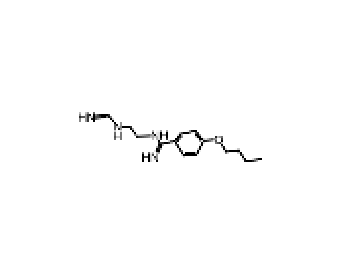 CCCCOc1ccc(C(=N)NCCNC=N)cc1